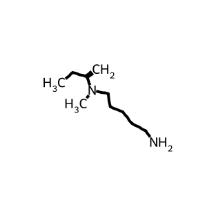 C=C(CC)N(C)CCCCCN